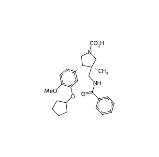 COc1ccc([C@@H]2CN(C(=O)O)C[C@@]2(C)CNC(=O)c2ccccc2)cc1OC1CCCC1